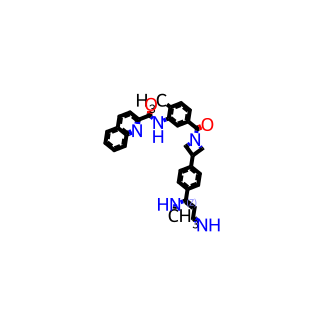 CN/C(=C\C=N)c1ccc(C2CN(C(=O)c3ccc(C)c(NC(=O)c4ccc5ccccc5n4)c3)C2)cc1